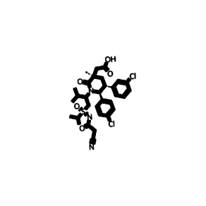 CC(C)C(CS(=O)(=NC(=O)CC#N)C(C)C)N1C(=O)[C@@](C)(CC(=O)O)C[C@H](c2cccc(Cl)c2)[C@H]1c1ccc(Cl)cc1